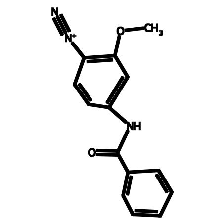 COc1cc(NC(=O)c2ccccc2)ccc1[N+]#N